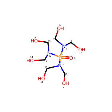 O=P(N(CO)CO)(N(CO)CO)N(CO)CO